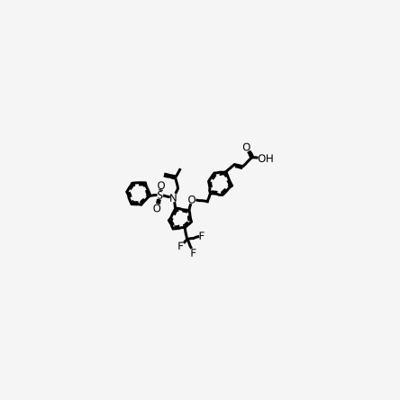 C=C(C)CN(c1ccc(C(F)(F)F)cc1OCc1ccc(C=CC(=O)O)cc1)S(=O)(=O)c1ccccc1